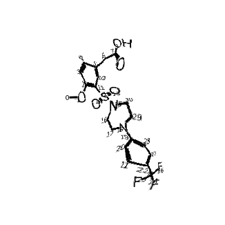 COc1ccc(CC(=O)O)cc1S(=O)(=O)N1CCN(c2ccc(C(F)(F)F)cc2)CC1